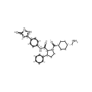 NC[C@H]1CC[C@H](C(=O)N2CCC(c3ccccc3)C2C(=O)Nc2ccc(-c3nc(=O)o[nH]3)cc2)CC1